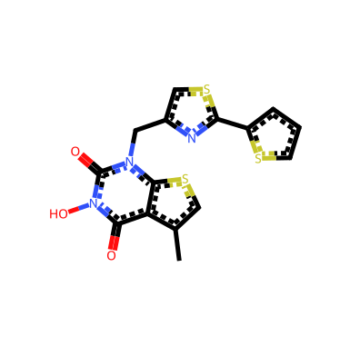 Cc1csc2c1c(=O)n(O)c(=O)n2Cc1csc(-c2cccs2)n1